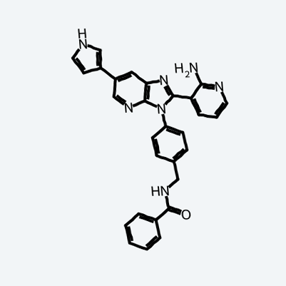 Nc1ncccc1-c1nc2cc(-c3cc[nH]c3)cnc2n1-c1ccc(CNC(=O)c2ccccc2)cc1